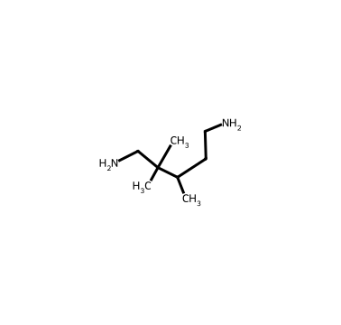 CC(CCN)C(C)(C)CN